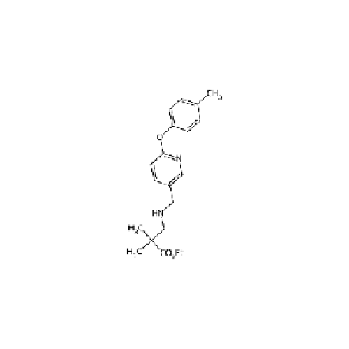 CCOC(=O)C(C)(C)CNCc1ccc(Oc2ccc(C)cc2)nc1